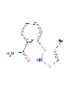 [2H]C1=CN(C)NN1c1ccccc1C(N)=O